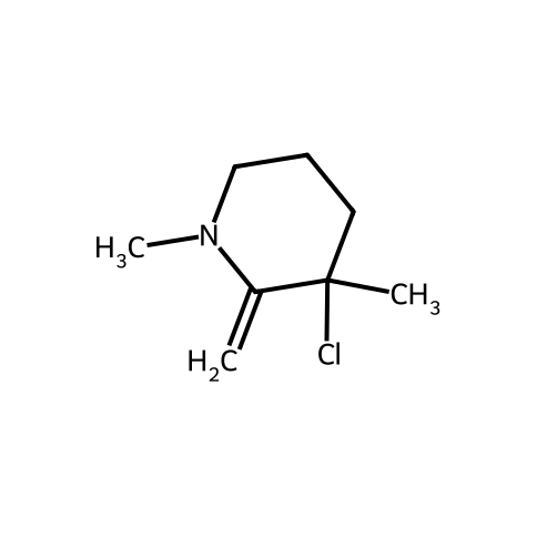 C=C1N(C)CCCC1(C)Cl